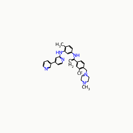 C=C(Nc1ccc(C)c(Nc2cc(-c3cccnc3)ccn2)c1)c1ccc(CN2CCN(C)CC2)c(C(F)(F)F)c1